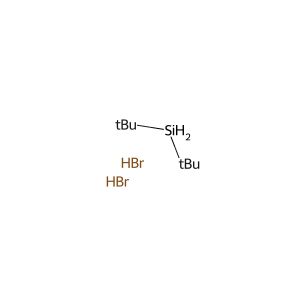 Br.Br.CC(C)(C)[SiH2]C(C)(C)C